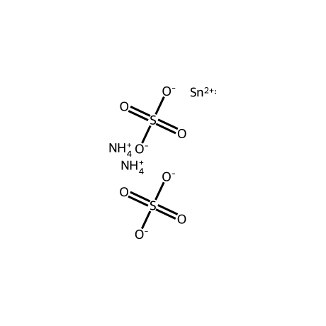 O=S(=O)([O-])[O-].O=S(=O)([O-])[O-].[NH4+].[NH4+].[Sn+2]